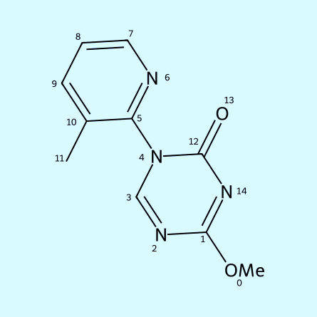 COc1ncn(-c2ncccc2C)c(=O)n1